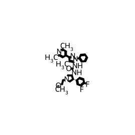 COCCN1C[C@@H](NC(=O)Nc2c(C)c(-c3cc(C)nc(C)c3)nn2-c2ccccc2)[C@H](c2ccc(F)c(F)c2)C1